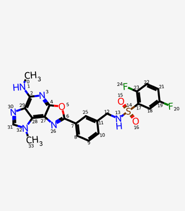 CNc1nc2oc(-c3cccc(CNS(=O)(=O)c4cc(F)ccc4F)c3)nc2c2c1ncn2C